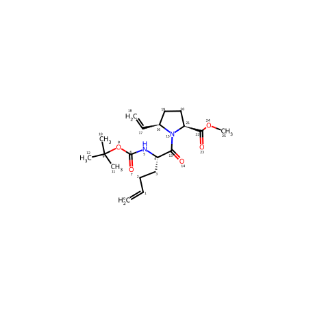 C=CCC[C@H](NC(=O)OC(C)(C)C)C(=O)N1[C@@H](C=C)CC[C@H]1C(=O)OC